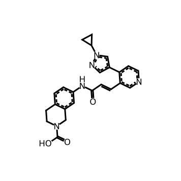 O=C(C=Cc1cnccc1-c1cnn(C2CC2)c1)Nc1ccc2c(c1)CN(C(=O)O)CC2